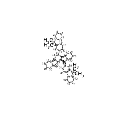 CC1(C)c2ccccc2-c2ccc(-c3cc4c5ccccc5oc4c4c3c3ccccc3n4-c3ccc4c(c3)C(C)(C)c3ccccc3-4)cc21